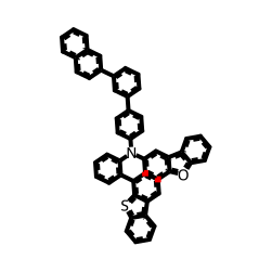 c1cc(-c2ccc(N(c3ccc4oc5ccccc5c4c3)c3ccccc3-c3cccc4c3sc3ccccc34)cc2)cc(-c2ccc3ccccc3c2)c1